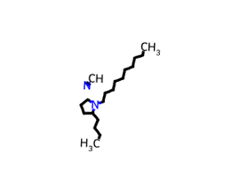 C#N.CCCCCCCCCCN1CCCC1CCCC